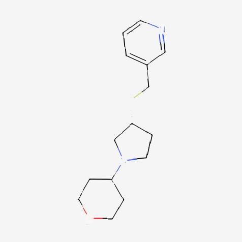 c1cncc(CS[C@@H]2CCN(C3CCOCC3)C2)c1